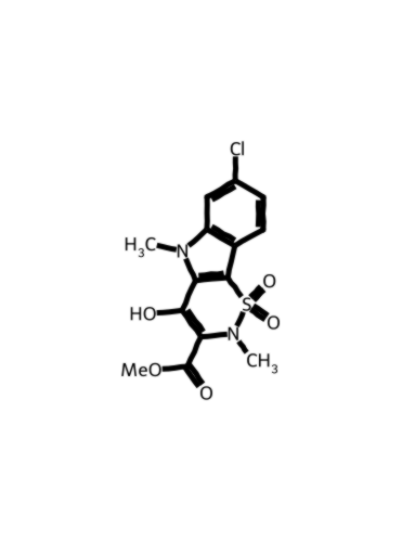 COC(=O)C1=C(O)c2c(c3ccc(Cl)cc3n2C)S(=O)(=O)N1C